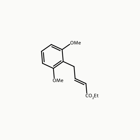 CCOC(=O)/C=C/Cc1c(OC)cccc1OC